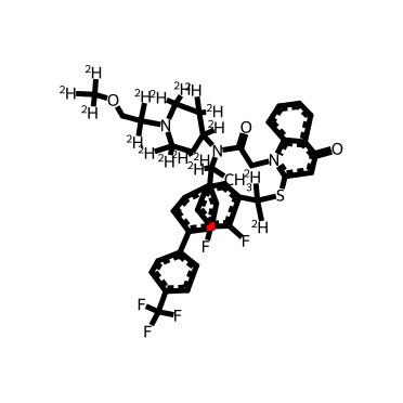 [2H]C([2H])([2H])OCC([2H])([2H])N1C([2H])([2H])C([2H])([2H])C([2H])(N(C(=O)Cn2c(SC([2H])([2H])c3cccc(F)c3F)cc(=O)c3ccccc32)C([2H])(C)c2ccc(-c3ccc(C(F)(F)F)cc3)cc2)C([2H])([2H])C1([2H])[2H]